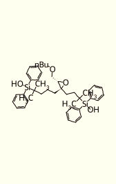 CCCCOC[C@@H]1O[C@]1(CCCC(C)(C)[Si](O)(c1ccccc1)c1ccccc1)CCC(C)(C)[Si](O)(c1ccccc1)c1ccccc1